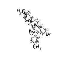 Cc1ccc(C(C=O)c2cc(Br)ccc2N2CCC(N3CCN(C)CC3)CC2)cc1